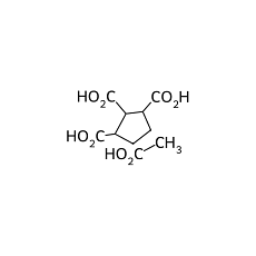 CC(=O)O.O=C(O)C1CCC(C(=O)O)C1C(=O)O